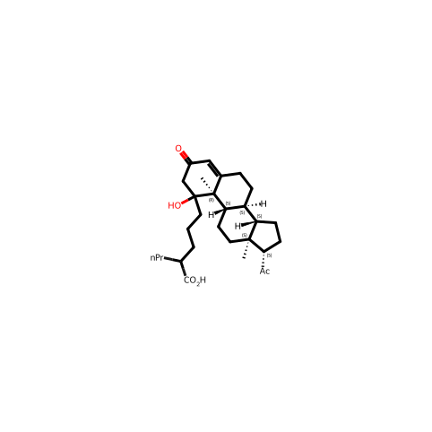 CCCC(CCCC1(O)CC(=O)C=C2CC[C@H]3[C@@H]4CC[C@H](C(C)=O)[C@@]4(C)CC[C@@H]3[C@]21C)C(=O)O